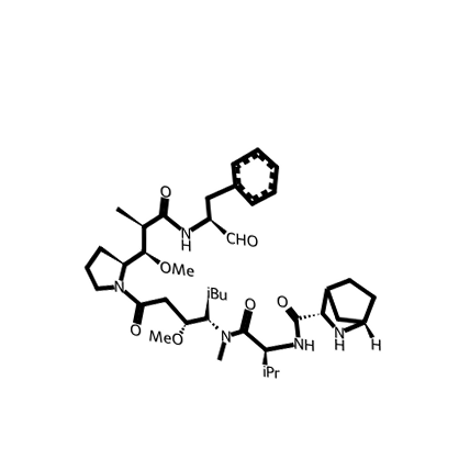 CC[C@H](C)[C@@H]([C@@H](CC(=O)N1CCC[C@H]1[C@H](OC)[C@@H](C)C(=O)N[C@H](C=O)Cc1ccccc1)OC)N(C)C(=O)[C@@H](NC(=O)[C@H]1N[C@H]2CCC1C2)C(C)C